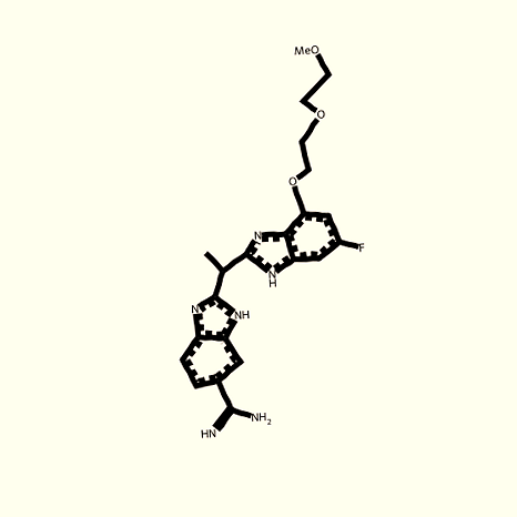 COCCOCCOc1cc(F)cc2[nH]c(C(C)c3nc4ccc(C(=N)N)cc4[nH]3)nc12